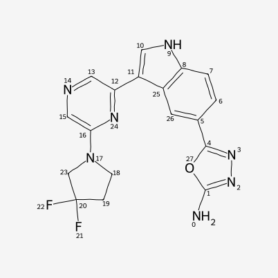 Nc1nnc(-c2ccc3[nH]cc(-c4cncc(N5CCC(F)(F)C5)n4)c3c2)o1